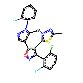 Cc1nnc(-c2c(-c3c(F)cccc3Cl)noc2-c2cnn(-c3ccccc3F)c2C(F)(F)F)s1